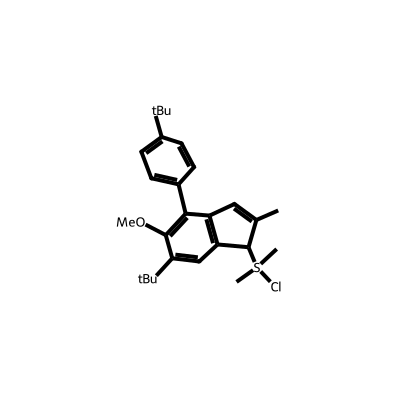 COc1c(C(C)(C)C)cc2c(c1-c1ccc(C(C)(C)C)cc1)C=C(C)C2S(C)(C)Cl